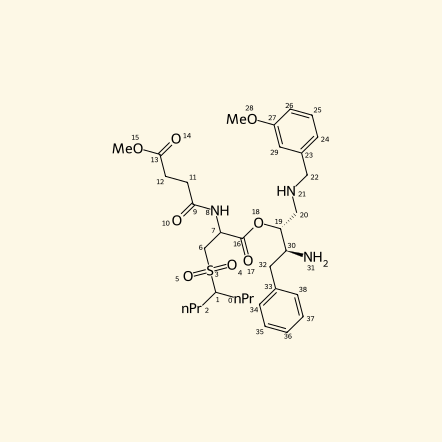 CCCC(CCC)S(=O)(=O)CC(NC(=O)CCC(=O)OC)C(=O)O[C@H](CNCc1cccc(OC)c1)[C@@H](N)Cc1ccccc1